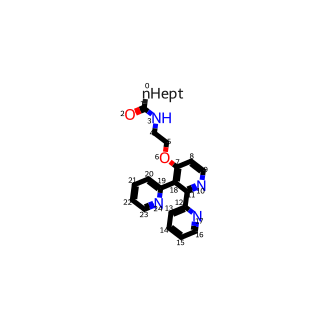 CCCCCCCC(=O)NCCOc1ccnc(-c2ccccn2)c1-c1ccccn1